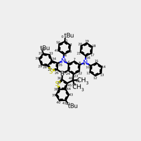 CC(C)(C)c1ccc(N2c3cc(N(c4ccccc4)c4ccccc4)cc4c3B(c3sc5ccc(C(C)(C)C)cc5c32)c2sc3ccc(C(C)(C)C)cc3c2C4(C)C)cc1